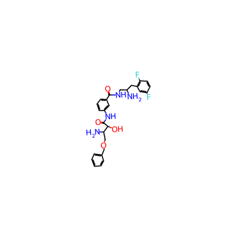 NC(CNC(=O)c1cccc(NC(=O)C(O)C(N)COCc2ccccc2)c1)Cc1cc(F)ccc1F